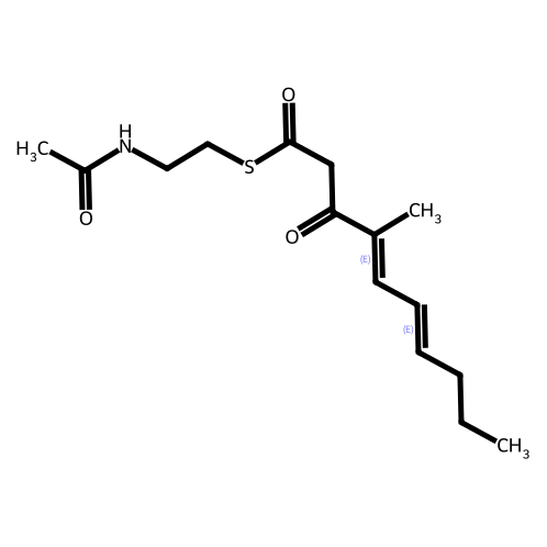 CCC/C=C/C=C(\C)C(=O)CC(=O)SCCNC(C)=O